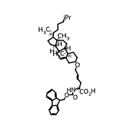 CC(C)CCC[C@@H](C)C1CC[C@H]2[C@@H]3CC=C4CC(OCC=CC[C@H](NC(=O)OCC5c6ccccc6-c6ccccc65)C(=O)O)CC[C@]4(C)[C@H]3CC[C@]12C